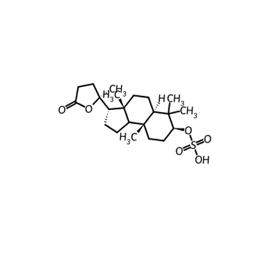 CC1(C)[C@@H](OS(=O)(=O)O)CC[C@]2(C)C3CC[C@H]([C@]4(C)CCC(=O)O4)[C@]3(C)CC[C@@H]12